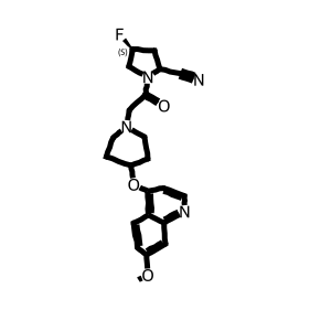 COc1ccc2c(OC3CCN(CC(=O)N4C[C@@H](F)CC4C#N)CC3)ccnc2c1